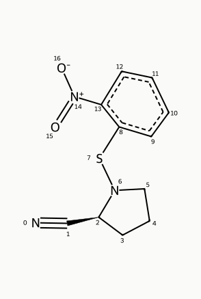 N#C[C@@H]1CCCN1Sc1ccccc1[N+](=O)[O-]